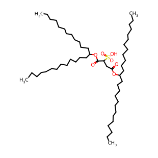 CCCCCCCCCCCCCC(CCCCCCCCCCCC)OC(=O)CC(C(=O)OC(CCCCCCCCCCCC)CCCCCCCCCCCCC)S(=O)(=O)O